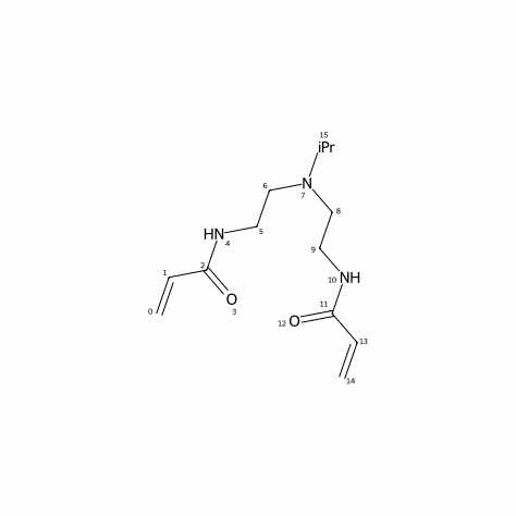 C=CC(=O)NCCN(CCNC(=O)C=C)C(C)C